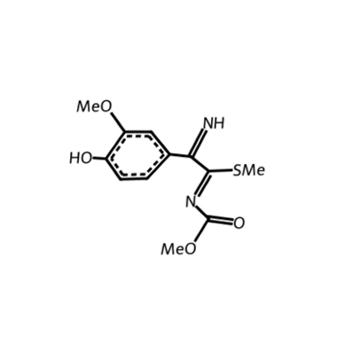 COC(=O)N=C(SC)C(=N)c1ccc(O)c(OC)c1